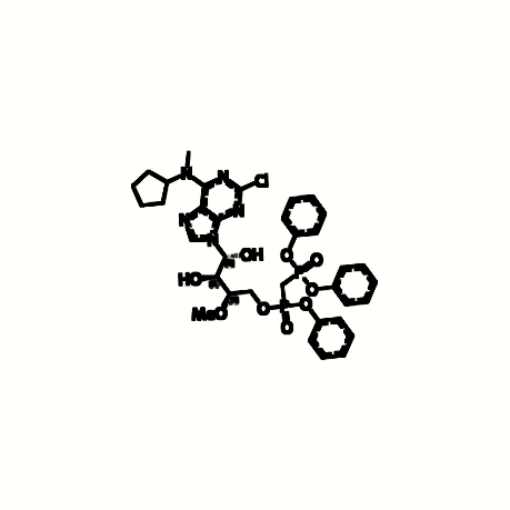 CO[C@H](COP(=O)(CP(=O)(Oc1ccccc1)Oc1ccccc1)Oc1ccccc1)[C@@H](O)[C@@H](O)n1cnc2c(N(C)C3CCCC3)nc(Cl)nc21